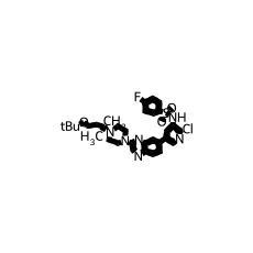 CC(C)(C)OCCC(C)(C)N1CCN(c2cnc3ccc(-c4cnc(Cl)c(NS(=O)(=O)c5ccc(F)cc5)c4)cc3n2)CC1